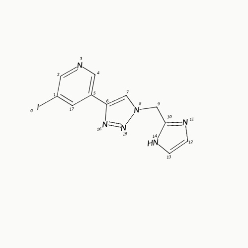 Ic1cncc(-c2cn(Cc3ncc[nH]3)nn2)c1